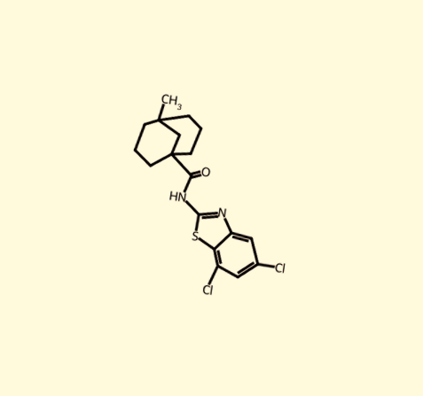 CC12CCCC(C(=O)Nc3nc4cc(Cl)cc(Cl)c4s3)(CCC1)C2